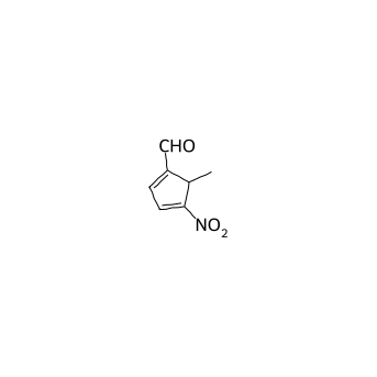 CC1C(C=O)=CC=C1[N+](=O)[O-]